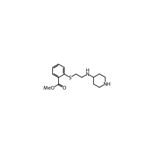 COC(=O)c1ccccc1SCCNC1CCNCC1